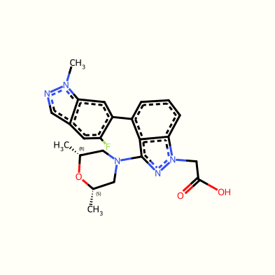 C[C@@H]1CN(c2nn(CC(=O)O)c3cccc(-c4cc5c(cnn5C)cc4F)c23)C[C@H](C)O1